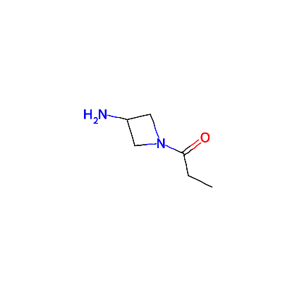 CCC(=O)N1CC(N)C1